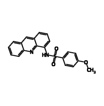 COc1ccc(S(=O)(=O)Nc2cccc3cc4ccccc4nc23)cc1